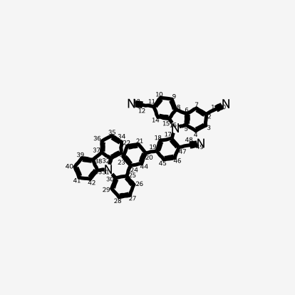 N#Cc1ccc2c(c1)c1ccc(C#N)cc1n2-c1cc(-c2cccc(-c3ccccc3-n3c4ccccc4c4ccccc43)c2)ccc1C#N